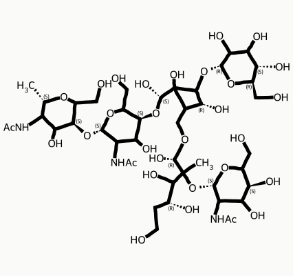 CC(=O)NC1C(O)[C@H](O)C(CO)O[C@H]1OC(C)(C(O)[C@H](O)CCO)[C@H](O)OCC1[C@@H](O)C(O[C@H]2O[C@H](CO)[C@@H](O)C(O)C2O)C1(O)[C@@H](O)O[C@@H]1C(CO)O[C@@H](O[C@@H]2C(CO)O[C@@H](C)C(NC(C)=O)C2O)C(NC(C)=O)C1O